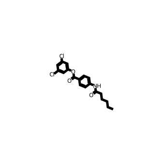 CCCCCC(=O)Nc1ccc(C(=O)Oc2cc(Cl)cc(Cl)c2)cc1